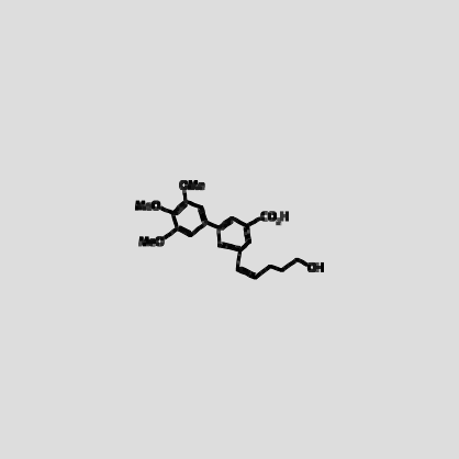 COc1cc(-c2cc(/C=C\CCCO)cc(C(=O)O)c2)cc(OC)c1OC